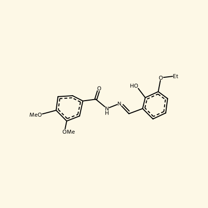 CCOc1cccc(C=NNC(=O)c2ccc(OC)c(OC)c2)c1O